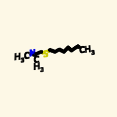 CCCCCCCCSC/C(C)=N/C